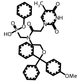 COc1ccc(C(OCCN(CP(=O)(O)Oc2ccccc2)C(=O)Cn2cc(C)c(=O)[nH]c2=O)(c2ccccc2)c2ccccc2)cc1